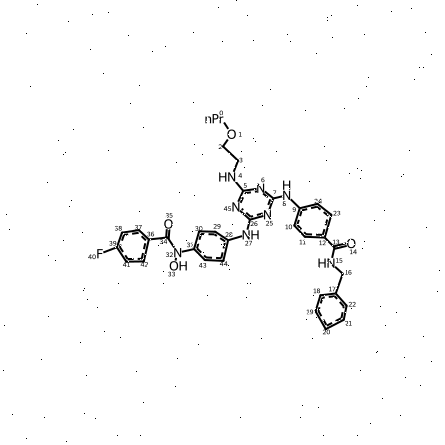 CCCOCCNc1nc(Nc2ccc(C(=O)NCc3ccccc3)cc2)nc(Nc2ccc(N(O)C(=O)c3ccc(F)cc3)cc2)n1